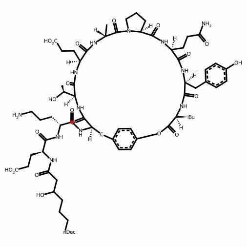 CCCCCCCCCCCCCC(O)CC(=O)N[C@@H](CCC(=O)O)C(=O)N[C@H](CCCN)C(=O)N[C@@H]1Cc2ccc(cc2)OC(=O)[C@H]([C@H](C)CC)NC(=O)[C@H](Cc2ccc(O)cc2)NC(=O)[C@H](CCC(N)=O)NC(=O)[C@@H]2CCCN2C(=O)[C@@H](C)NC(=O)[C@H](CCC(=O)O)NC(=O)[C@H]([C@H](C)O)NC1=O